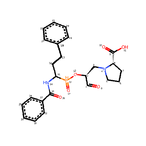 O=C[C@H](CN1CCC[C@H]1C(=O)O)O[PH](=O)C(CCc1ccccc1)NC(=O)c1ccccc1